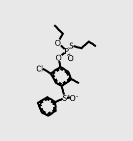 CCCSP(=O)(OCC)Oc1cc(C)c([S+]([O-])c2ccccc2)cc1Cl